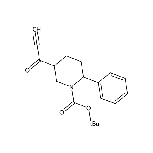 C#CC(=O)C1CCC(c2ccccc2)N(C(=O)OC(C)(C)C)C1